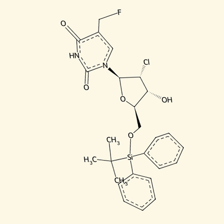 CC(C)(C)[Si](OC[C@H]1O[C@@H](n2cc(CF)c(=O)[nH]c2=O)[C@H](Cl)[C@@H]1O)(c1ccccc1)c1ccccc1